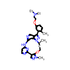 CCN(CC)CCOc1ccc(C)c(-c2nn3c4cc(ncc24)Nc2ccnc(n2)-c2cnn(C)c2OCC[C@@H]3C)c1